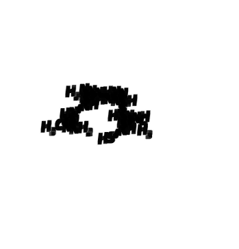 CCNc1nc(NCCS)nc(NCCNc2ncnc(NCCNc3nc(N)nc(NCCNc4nc(C)nc(N)n4)n3)n2)n1